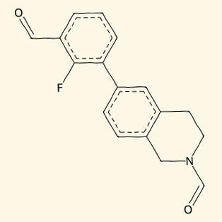 O=Cc1cccc(-c2ccc3c(c2)CCN(C=O)C3)c1F